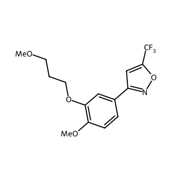 COCCCOc1cc(-c2cc(C(F)(F)F)on2)ccc1OC